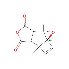 CC12C=C[C@]13OC3(C)C1C(=O)OC(=O)C12